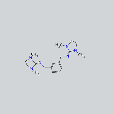 CN1CCN(C)C1=NCc1cccc(CN=C2N(C)CCN2C)c1